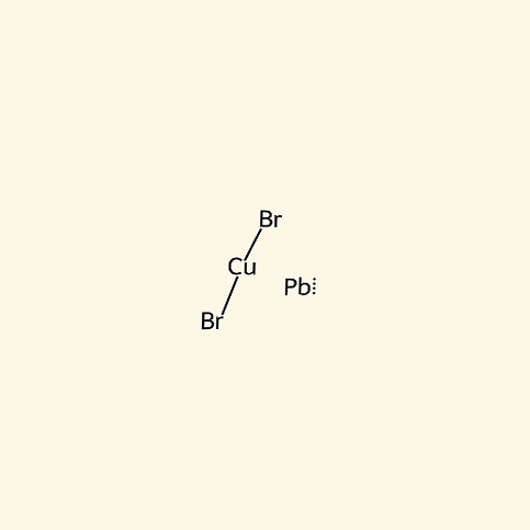 [Br][Cu][Br].[Pb]